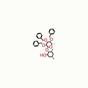 C[C@H]1C[C@@H](O)[C@H](O[C@@H]2O[C@@H](C)[C@@H](OCc3ccccc3)[C@@H](OCc3ccccc3)[C@@H]2OCc2ccccc2)[C@@H](C)C1